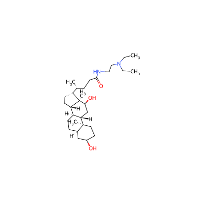 CCN(CC)CCNC(=O)CC[C@@H](C)[C@H]1CC[C@H]2[C@@H]3CC[C@@H]4C[C@H](O)CC[C@]4(C)[C@H]3C[C@H](O)[C@]12C